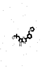 CC(C)(C=O)Cc1c[nH]c2ncc(-c3cccc(CN4CCCC4)c3)nc12